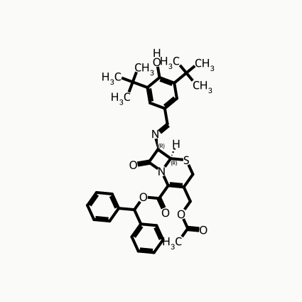 CC(=O)OCC1=C(C(=O)OC(c2ccccc2)c2ccccc2)N2C(=O)[C@@H](N=Cc3cc(C(C)(C)C)c(O)c(C(C)(C)C)c3)[C@H]2SC1